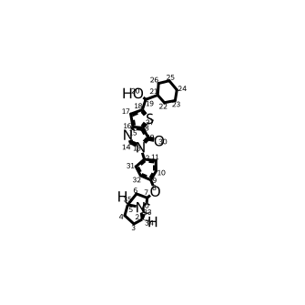 CN1[C@@H]2CC[C@H]1CC(Oc1ccc(-n3cnc4cc(C(O)C5CCCCC5)sc4c3=O)cc1)C2